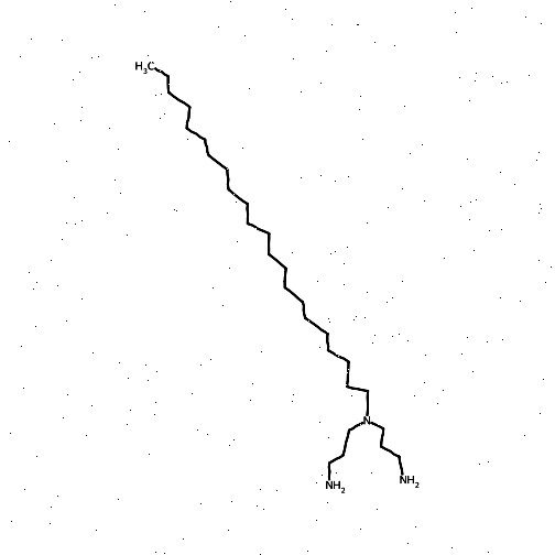 CCCCCCCCCCCCCCCCCCCCCCN(CCCN)CCCN